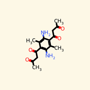 CC(=O)CC(=O)c1c(C)c(N)c(C(=O)CC(C)=O)c(C)c1N